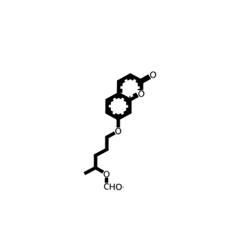 CC(CCCOc1ccc2ccc(=O)oc2c1)O[C]=O